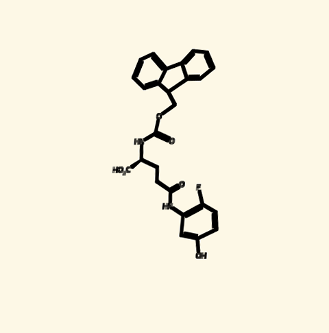 O=C(CC[C@H](NC(=O)OCC1c2ccccc2-c2ccccc21)C(=O)O)Nc1cc(O)ccc1F